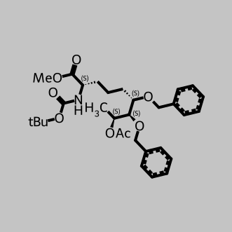 COC(=O)[C@H](CCC[C@H](OCc1ccccc1)[C@@H](OCc1ccccc1)[C@H](C)OC(C)=O)NC(=O)OC(C)(C)C